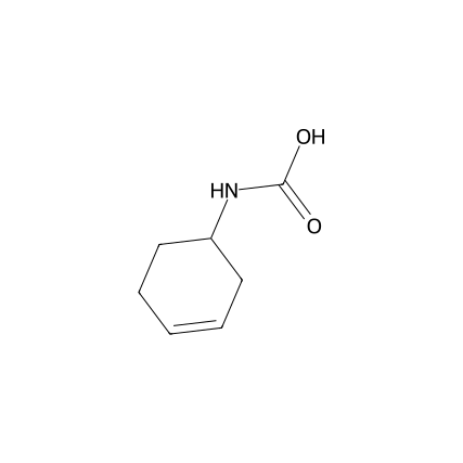 O=C(O)NC1CC=CCC1